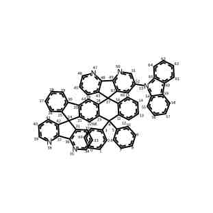 c1ccc(C2(c3ccccc3)c3ccccc3C3(c4cc5c(cc42)C2(c4ccccc4-5)c4cccnc4-c4ncccc42)c2cccnc2-c2ncc(-n4c5ccccc5c5ccccc54)cc23)cc1